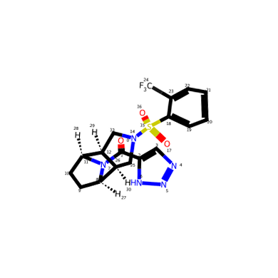 O=C(c1cnn[nH]1)N1[C@@H]2CC[C@H]1[C@H]1CN(S(=O)(=O)c3ccccc3C(F)(F)F)C[C@H]12